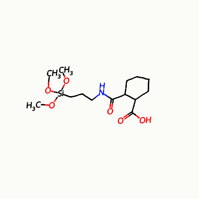 CO[Si](CCCNC(=O)C1CCCCC1C(=O)O)(OC)OC